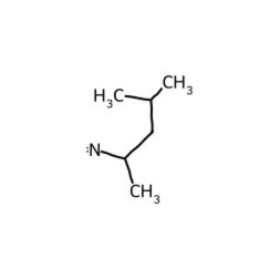 CC(C)CC(C)[N]